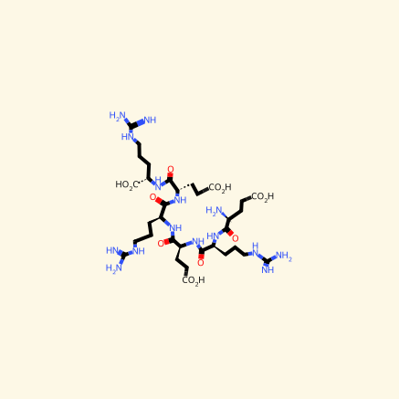 N=C(N)NCCC[C@H](NC(=O)[C@H](CCC(=O)O)NC(=O)[C@H](CCCNC(=N)N)NC(=O)[C@H](CCC(=O)O)NC(=O)[C@H](CCCNC(=N)N)NC(=O)[C@@H](N)CCC(=O)O)C(=O)O